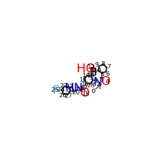 CCN1C(=O)c2ccccc2B(O)c2ccc(C(=O)NCc3ccc(F)cc3)cc21